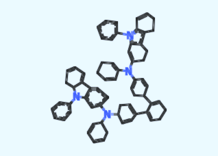 C1=CCC2C(=C1)c1ccc(N(C3C=CC=CC3)C3C=CC(C4=CCCC=C4C4C=CC(N(C5=CCCC=C5)C5=Cc6c(c7c(n6-c6ccccc6)C=CCC7)CC5)=CC4)=CC3)cc1N2c1ccccc1